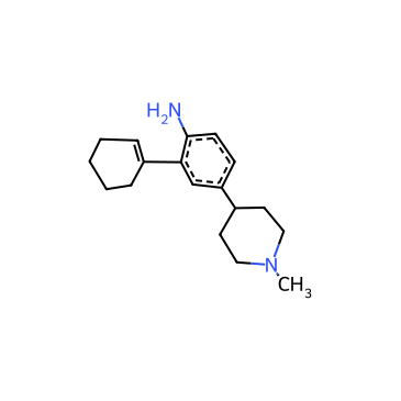 CN1CCC(c2ccc(N)c(C3=CCCCC3)c2)CC1